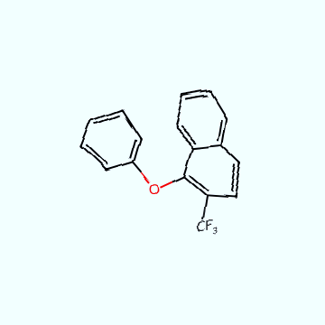 FC(F)(F)c1ccc2ccccc2c1Oc1ccccc1